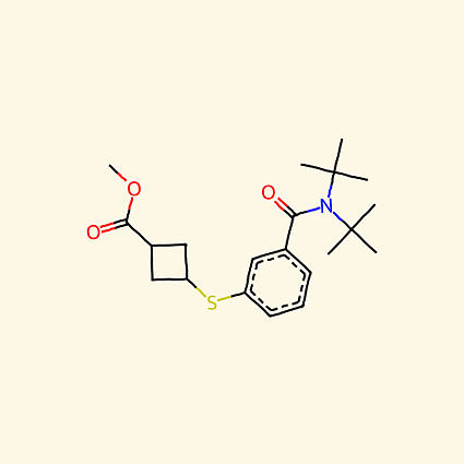 COC(=O)C1CC(Sc2cccc(C(=O)N(C(C)(C)C)C(C)(C)C)c2)C1